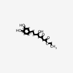 CCOC(=O)CC(=O)CC(O)CCc1ccc(O)c(O)c1